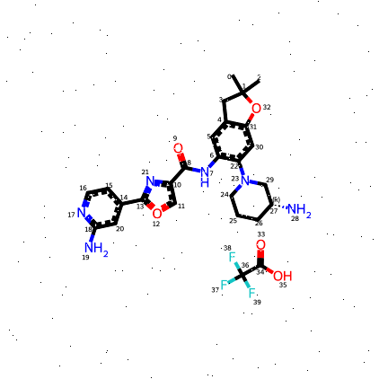 CC1(C)Cc2cc(NC(=O)c3coc(-c4ccnc(N)c4)n3)c(N3CCC[C@@H](N)C3)cc2O1.O=C(O)C(F)(F)F